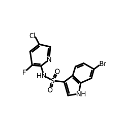 O=S(=O)(Nc1ncc(Cl)cc1F)c1c[nH]c2cc(Br)ccc12